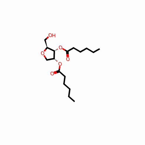 CCCCCC(=O)O[C@H]1[C@H](CO)OC[C@H]1OC(=O)CCCCC